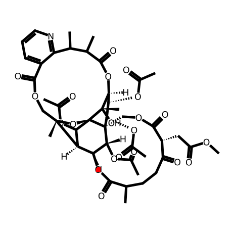 COC(=O)C[C@@H]1C(=O)CCC(C)C(=O)O[C@H]2[C@@H](OC(C)=O)[C@]3(COC1=O)[C@@H](OC(C)=O)[C@@H](OC(C)=O)[C@@H]1OC(=O)C(C)C(C)c4ncccc4C(=O)OC[C@]4(C)O[C@@]3(C(OC(C)=O)[C@@H]24)[C@@]1(C)O